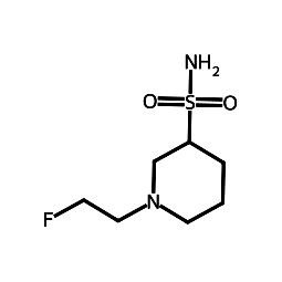 NS(=O)(=O)C1CCCN(CCF)C1